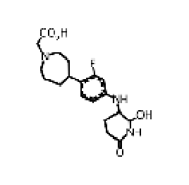 O=C(O)CN1CCCC(c2ccc(NC3CCC(=O)NC3O)cc2F)CC1